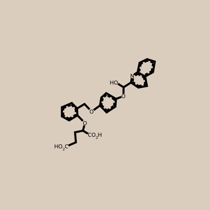 O=C(O)CCC(Oc1ccccc1COc1ccc(OC(O)c2ccc3ccccc3n2)cc1)C(=O)O